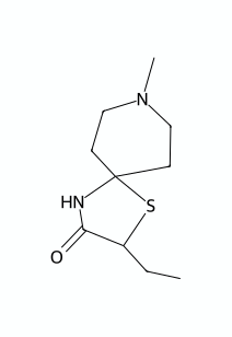 CCC1SC2(CCN(C)CC2)NC1=O